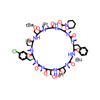 CC[C@H](C)C1NC(=O)C(Cc2ccccc2)N(C)C(=O)N(C)C(=O)[C@@H](C(=O)N2CCCCC2)NC(=O)[C@H](C(C)C)N(C)C(=O)C(COC(C)(C)C)NC(=O)[C@H](CC(C)C)N(C)C(=O)[C@H](Cc2ccc(Cl)cc2)N(C)C(=O)N(C)C(=O)C([C@@H](C)O)NC(=O)C(CC(C)C)N(C)C1=O